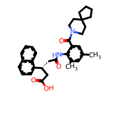 Cc1cc(C)c(NC(=O)C[C@H](CC(=O)O)c2cccc3ccccc23)c(C(=O)N2CCC3(CCCC3)CC2)c1